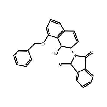 O=C1c2ccccc2C(=O)N1[C@H]1C=Cc2cccc(OCc3ccccc3)c2C1O